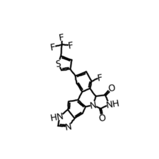 O=C1NC(=O)N2c3cc4nc[nH]c4cc3-c3cc(-c4csc(C(F)(F)F)c4)cc(F)c3C12